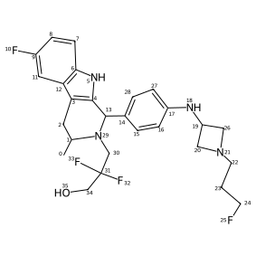 CC1Cc2c([nH]c3ccc(F)cc23)C(c2ccc(NC3CN(CCCF)C3)cc2)N1CC(F)(F)CO